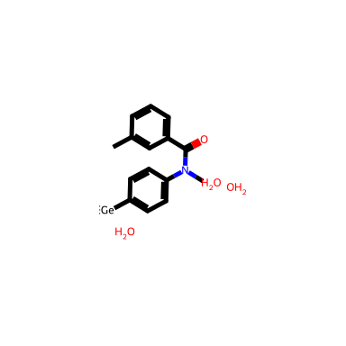 Cc1cccc(C(=O)N(C)c2cc[c]([Ge])cc2)c1.O.O.O